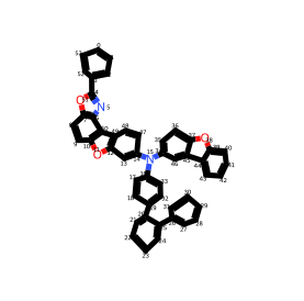 c1ccc(-c2nc3c(ccc4oc5cc(N(c6ccc(-c7ccccc7-c7ccccc7)cc6)c6ccc7oc8ccccc8c7c6)ccc5c43)o2)cc1